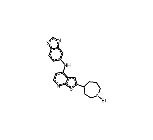 CCN1CCCC(c2cc3c(Nc4ccc5scnc5c4)ccnc3s2)CC1